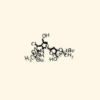 CC(C)(C)[Si](C)(C)Nc1nc(Cl)c2c(CO)cn([C@H]3C[C@@H](O[Si](C)(C)C(C)(C)C)[C@@H](CO)O3)c2n1